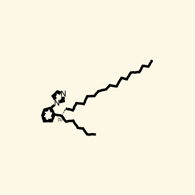 CCCCCCCCCCCCCCCCC[C@H](CCCCCC)c1ccccc1-n1ccnc1